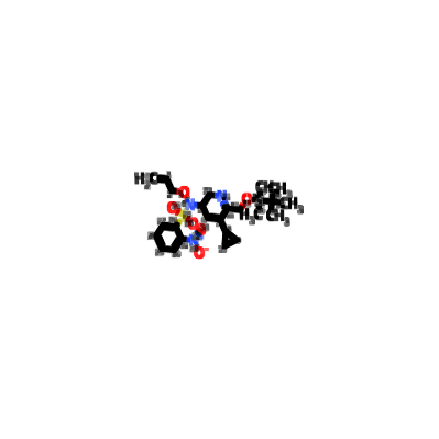 C=CCON(C1C=C(C2CC2)C(CO[Si](C)(C)C(C)(C)C)=NC1)S(=O)(=O)c1ccccc1[N+](=O)[O-]